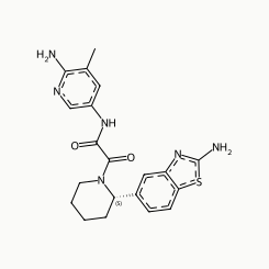 Cc1cc(NC(=O)C(=O)N2CCCC[C@H]2c2ccc3sc(N)nc3c2)cnc1N